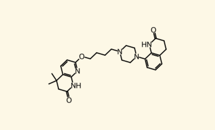 CC1(C)CC(=O)Nc2nc(OCCCCN3CCN(c4cccc5c4NC(=O)CC5)CC3)ccc21